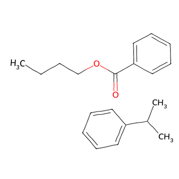 CC(C)c1ccccc1.CCCCOC(=O)c1ccccc1